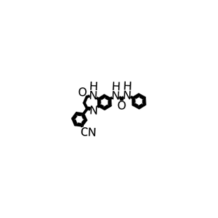 N#Cc1cccc(C2=Nc3ccc(NC(=O)Nc4ccccc4)cc3NC(=O)C2)c1